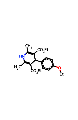 CCOC(=O)C1=C(C)NC(C)=C(C(=O)OCC)C1c1ccc(OCC)cc1